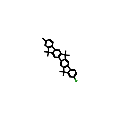 Cc1ccc2c(c1)C(C)(C)c1cc3c(cc1-2)C(C)(C)c1cc2c(cc1-3)C(C)(C)c1cc(Br)ccc1-2